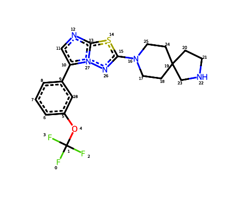 FC(F)(F)Oc1cccc(-c2cnc3sc(N4CCC5(CCNC5)CC4)nn23)c1